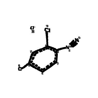 N#[N+]c1ccc(Cl)cc1Cl.[Cl-]